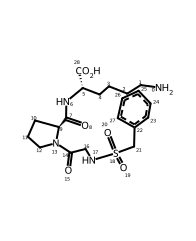 NCCCC[C@H](NC(=O)[C@@H]1CCCN1C(=O)CNS(=O)(=O)Cc1ccccc1)C(=O)O